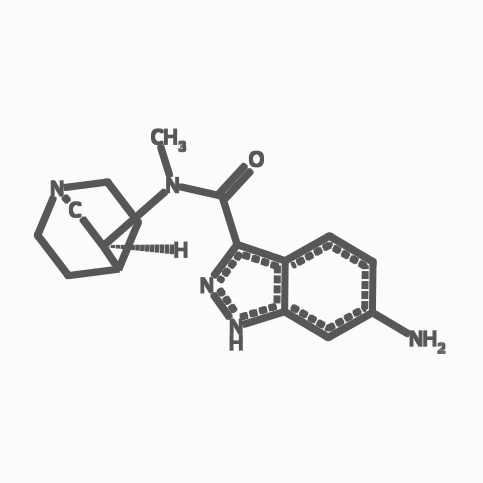 CN(C(=O)c1n[nH]c2cc(N)ccc12)[C@@H]1CN2CCC1CC2